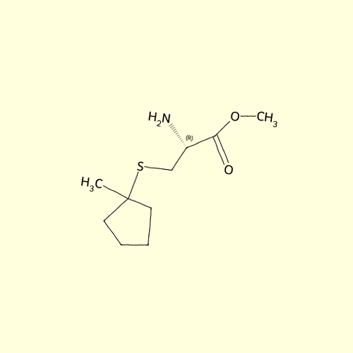 COC(=O)[C@@H](N)CSC1(C)CCCC1